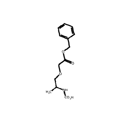 CC(COCC(=O)OCc1ccccc1)NC(=O)O